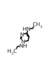 CCNC1=CCN(NCC)C=N1